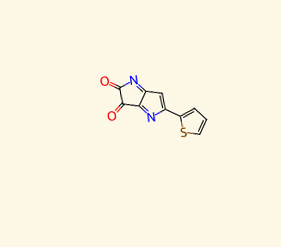 O=c1nc2cc(-c3cccs3)nc-2c1=O